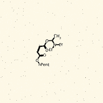 CCCCCOC(=O)/C=C\C(=O)OC(C)N(CC)CC